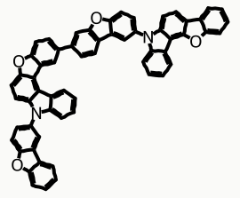 c1ccc2c(c1)oc1ccc(-n3c4ccccc4c4c5c(ccc43)oc3ccc(-c4ccc6c(c4)oc4ccc(-n7c8ccccc8c8c9oc%10ccccc%10c9ccc87)cc46)cc35)cc12